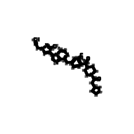 C#CCn1cc(-c2cnc3c(Cc4ccc(C(=O)N5CCN(C(=O)CC6CCCC6)CC5)c(C)c4)nccn23)c(C(F)(F)F)n1